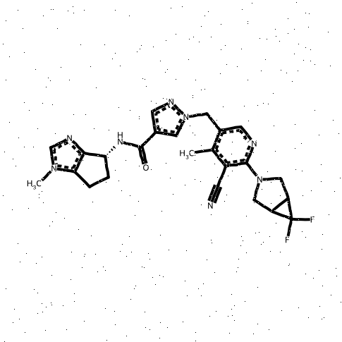 Cc1c(Cn2cc(C(=O)N[C@@H]3CCc4c3ncn4C)cn2)cnc(N2CC3C(C2)C3(F)F)c1C#N